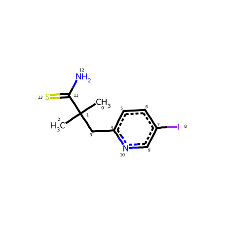 CC(C)(Cc1ccc(I)cn1)C(N)=S